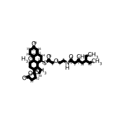 C=C(CC(=O)NCCOCC(=O)S[C@@H]1CC2=CC(=O)CCC2(C)C2CCC3(C)C(CC[C@@]34CCC(=O)O4)C21)CC(CC)CC